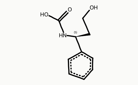 O=C(O)N[C@@H](CCO)c1ccccc1